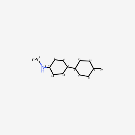 CCCNC1CCC(C2CCC(C)CC2)CC1